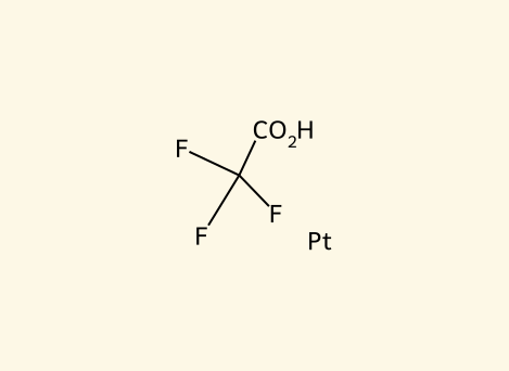 O=C(O)C(F)(F)F.[Pt]